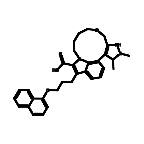 CC1C2=C(COCCCCn3c(C(=O)O)c(CCCOc4cccc5ccccc45)c4cccc2c43)NN1C